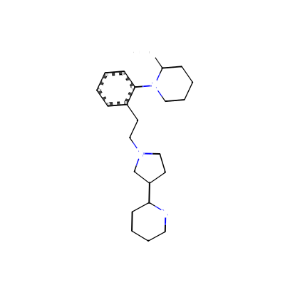 O=CC1CCCCN1c1ccccc1CCN1CCC(C2CCCCN2)C1